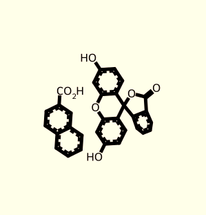 O=C(O)c1ccc2ccccc2c1.O=C1OC2(c3ccc(O)cc3Oc3cc(O)ccc32)c2ccccc21